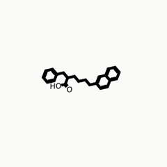 O=C(O)C(CCCCc1ccc2ccccc2c1)Cc1ccccc1